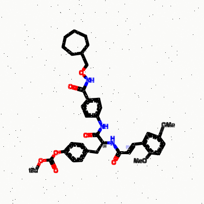 COc1ccc(OC)c(/C=C/C(=O)N[C@@H](Cc2ccc(OC(=O)OC(C)(C)C)cc2)C(=O)Nc2ccc(C(=O)NOCC3CCCCCC3)cc2)c1